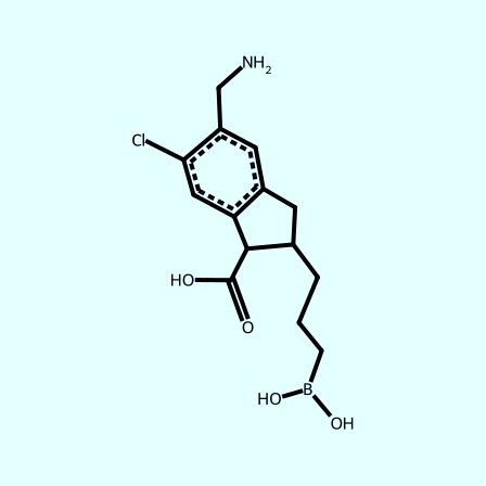 NCc1cc2c(cc1Cl)C(C(=O)O)C(CCCB(O)O)C2